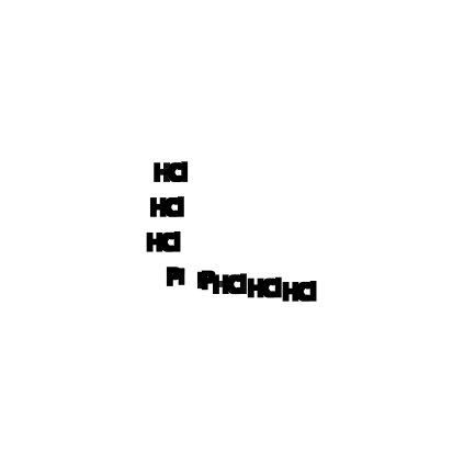 Cl.Cl.Cl.Cl.Cl.Cl.[P].[P]